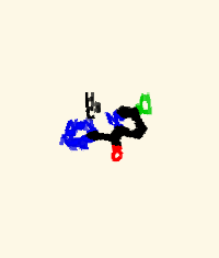 Cn1nnnc1C(=O)c1ccc(Cl)cn1